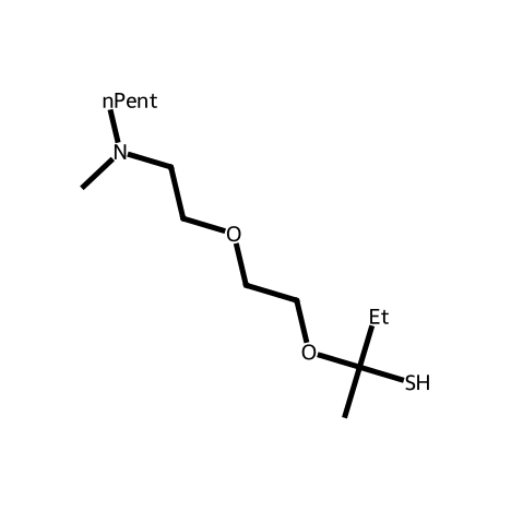 CCCCCN(C)CCOCCOC(C)(S)CC